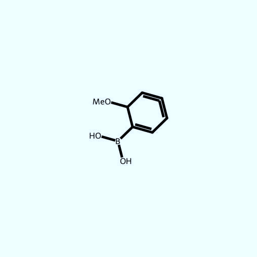 COC1C=C=CC=C1B(O)O